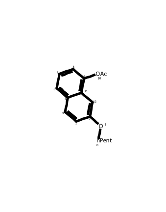 CCCCCOc1ccc2cccc(OC(C)=O)c2c1